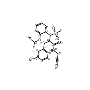 CS(=O)(=O)C(c1ccccc1OC(F)F)C(Cc1cccc(Br)c1)C(=O)NCC#N